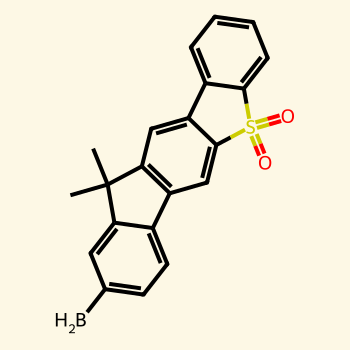 Bc1ccc2c(c1)C(C)(C)c1cc3c(cc1-2)S(=O)(=O)c1ccccc1-3